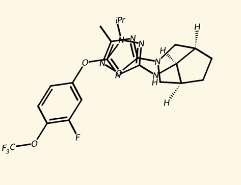 Cc1noc(N2C[C@H]3CC[C@@H](C2)[C@H]3Nc2nc(Oc3ccc(OC(F)(F)F)c(F)c3)n(C(C)C)n2)n1